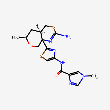 C[C@H]1C[C@H]2CSC(N)=NC2(c2nc(NC(=O)c3cn(C)cn3)cs2)CO1